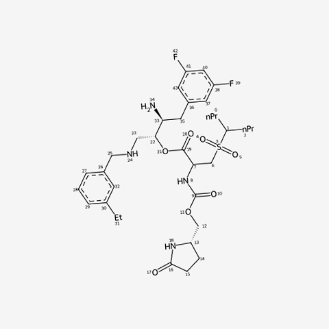 CCCC(CCC)S(=O)(=O)CC(NC(=O)OC[C@@H]1CCC(=O)N1)C(=O)O[C@H](CNCc1cccc(CC)c1)[C@@H](N)Cc1cc(F)cc(F)c1